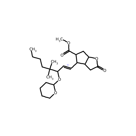 CCCCC(C)(C)C(/C=C/C1C(C(=O)OC)CC2OC(=O)CC21)OC1CCCCO1